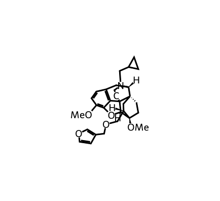 COc1ccc2c3c1O[C@H]1[C@@]4(OC)CC[C@@]5(C[C@H]4COCc4ccoc4)[C@@H](C2)N(CC2CC2)CC[C@]315